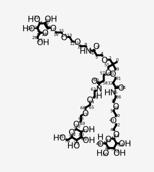 CC(COCCC(=O)NCCOCCOCCOC1=C(O)C(O)[C@H](O)C(CO)O1)(COCCC(=O)NCCOCCOCCO[C@H]1OC(O)[C@@H](O)C(O)C1O)COCCC(=O)NCCOCCOCCO[C@H]1OC(CO)[C@@H](O)C(O)C1O